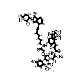 CN(C(=O)[C@@H]1C[C@@H](OCC(=O)NCCCCCC#Cc2cccc3c2CN(C2CCC(=O)NC2=O)C3=O)CN1C(=O)[C@@H](NC(=O)c1cc2cc(C(F)(F)P(=O)(O)O)ccc2s1)C(C)(C)C)c1ccc(Br)cc1